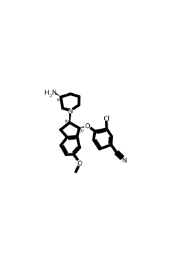 COc1ccc2c(c1)[C@@H](Oc1ccc(C#N)cc1Cl)[C@H](N1CCC[C@@H](N)C1)C2